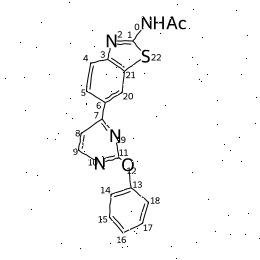 CC(=O)Nc1nc2ccc(-c3ccnc(Oc4ccccc4)n3)cc2s1